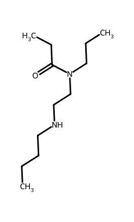 CCCCNCCN(CCC)C(=O)CC